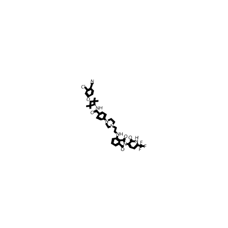 CC1(C)[C@H](NC(=O)c2ccc(N3CCN(CCNc4cccc5c4C(=O)N(c4ccc(C(F)(F)F)[nH]c4=O)C5=O)CC3)cc2)C(C)(C)[C@H]1Oc1ccc(C#N)c(Cl)c1